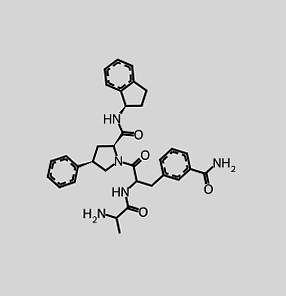 CC(N)C(=O)NC(Cc1cccc(C(N)=O)c1)C(=O)N1C[C@@H](c2ccccc2)C[C@H]1C(=O)N[C@@H]1CCc2ccccc21